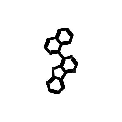 c1ccc2c(-c3ncnc4c3sc3ncccc34)nccc2c1